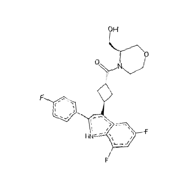 O=C([C@H]1C[C@H](c2c(-c3ccc(F)cc3)[nH]c3c(F)cc(F)cc32)C1)N1CCOC[C@@H]1CO